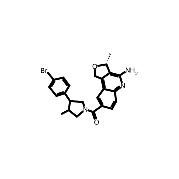 CC1CN(C(=O)c2ccc3nc(N)c4c(c3c2)CO[C@@H]4C)CC1c1ccc(Br)cc1